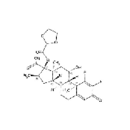 C[C@@H]1C[C@H]2[C@@H]3CCC4=CC(=O)C(F)=C(F)[C@]4(C)[C@H]3[C@@H](O)C[C@]2(C)[C@@]1(OC(=O)C1OCCO1)C(O)=S